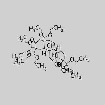 CCOC(OCC)C1(C(OCC)OCC)C[C@]2(C)[C@@H]3CC[C@@]4(C)[C@@H](CCC4(OC)C(OCC)OCC)[C@@H]3CCC2(C(OCC)OCC)CC1=O